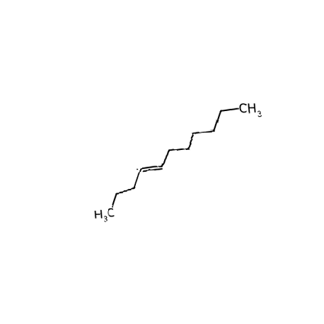 CCC/[C]=C/CCCCCC